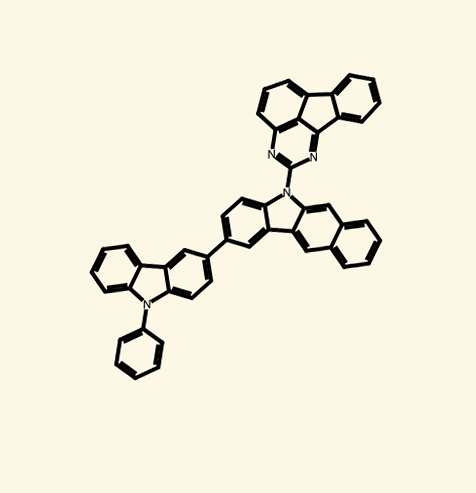 c1ccc(-n2c3ccccc3c3cc(-c4ccc5c(c4)c4cc6ccccc6cc4n5-c4nc5c6c(cccc6n4)-c4ccccc4-5)ccc32)cc1